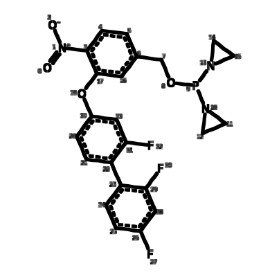 O=[N+]([O-])c1ccc(COP(N2CC2)N2CC2)cc1Oc1ccc(-c2ccc(F)cc2F)c(F)c1